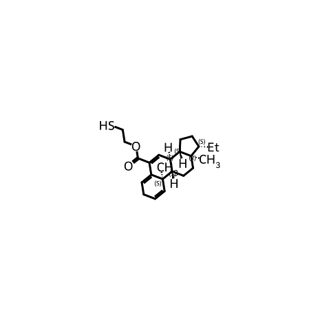 CC[C@H]1CC[C@H]2[C@@H]3C=C(C(=O)OCCS)C4=CCC=C[C@]4(C)[C@H]3CC[C@]12C